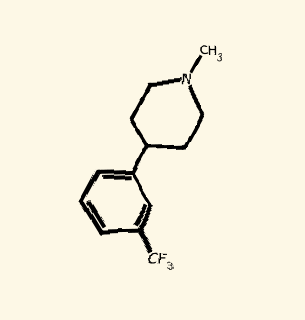 CN1CCC(c2cccc(C(F)(F)F)c2)CC1